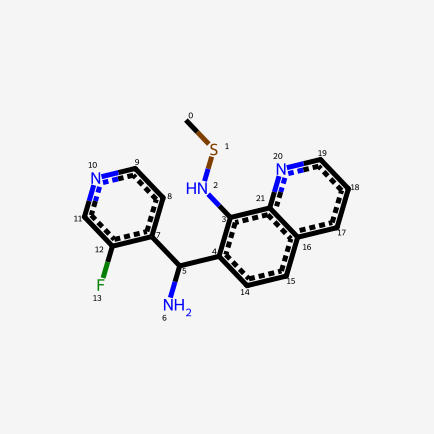 CSNc1c(C(N)c2ccncc2F)ccc2cccnc12